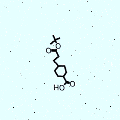 CC(C)(C)OC(=O)CCC1CCC(C(=O)O)CC1